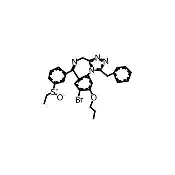 CCCOc1cc2c(cc1Br)C(c1cccc([S+]([O-])CC)c1)=NCc1nnc(Cc3ccccc3)n1-2